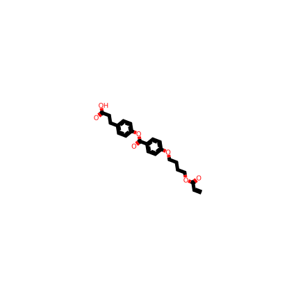 C=CC(=O)OCCCCOc1ccc(C(=O)Oc2ccc(CCC(=O)O)cc2)cc1